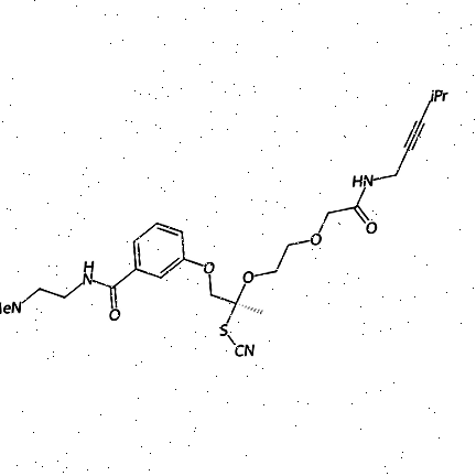 CNCCNC(=O)c1cccc(OC[C@@](C)(OCCOCC(=O)NCC#CC(C)C)SC#N)c1